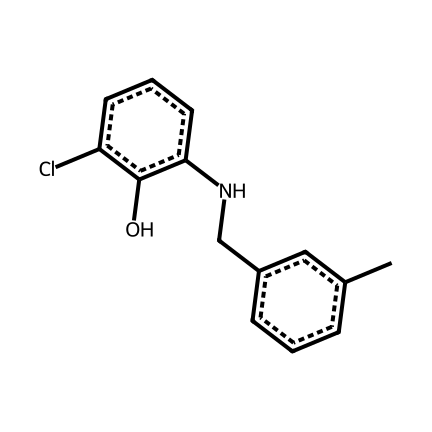 Cc1cccc(CNc2cccc(Cl)c2O)c1